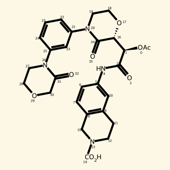 CC(=O)O[C@@H](C(=O)Nc1ccc2c(c1)CCN(C(=O)O)C2)[C@H]1OCCN(c2cccc(N3CCOCC3=O)c2)C1=O